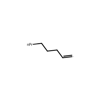 [CH]=CCCCCCC